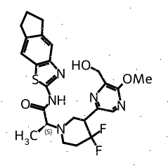 COc1ncc(C2CN([C@@H](C)C(=O)Nc3nc4cc5c(cc4s3)CCC5)CCC2(F)F)nc1CO